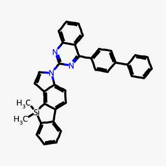 C[Si]1(C)c2ccccc2-c2ccc3c(ccn3-c3nc(-c4ccc(-c5ccccc5)cc4)c4ccccc4n3)c21